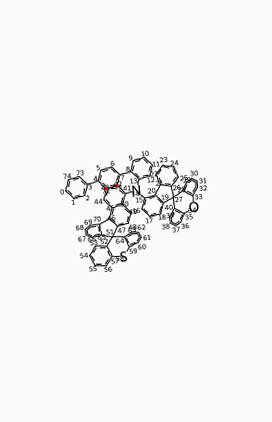 c1ccc(-c2ccc(-c3ccccc3N(c3cccc4c3-c3ccccc3C43c4ccccc4Oc4ccccc43)c3cccc4c5c(ccc34)C3(c4ccccc4Sc4ccccc43)c3ccccc3-5)cc2)cc1